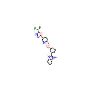 Cn1c(-c2cccc(OCc3ccc(-c4nnc(C(F)F)o4)cn3)c2)nc2ccccc21